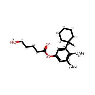 COc1c(C(C)(C)C)cc(OC(=O)CCCCO)cc1C1(C)CCCCC1